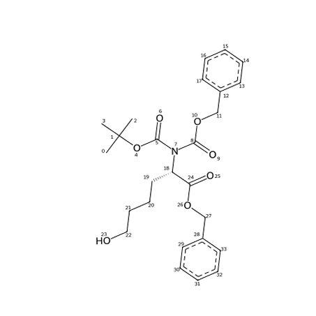 CC(C)(C)OC(=O)N(C(=O)OCc1ccccc1)[C@@H](CCCCO)C(=O)OCc1ccccc1